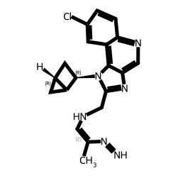 C/C(=C/NCc1nc2cnc3ccc(Cl)cc3c2n1[C@@H]1C[C@H]2CC21)N=N